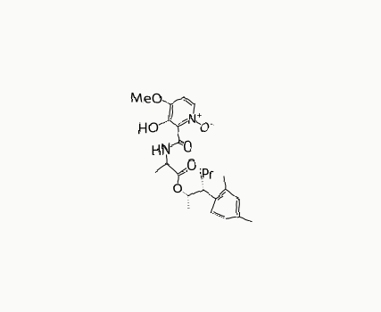 COc1cc[n+]([O-])c(C(=O)NC(C)C(=O)O[C@@H](C)[C@@H](c2ccc(C)cc2C)C(C)C)c1O